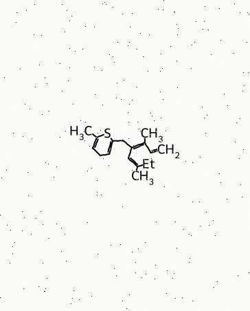 C=C/C(C)=C(\C=C(\C)CC)CC1=CCC=C(C)S1